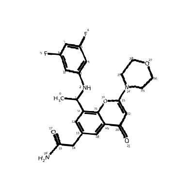 CC(Nc1cc(F)cc(F)c1)c1cc(CC(N)=O)cc2c(=O)cc(N3CCOCC3)oc12